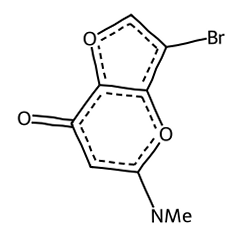 CNc1cc(=O)c2occ(Br)c2o1